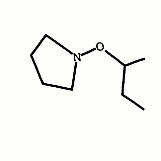 CCC(C)ON1CCCC1